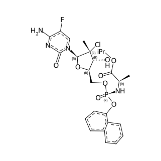 CC(C)OC(=O)[C@@H](C)N[P@@](=O)(OC[C@H]1O[C@@H](n2cc(F)c(N)nc2=O)[C@](C)(Cl)[C@@H]1O)Oc1cccc2ccccc12